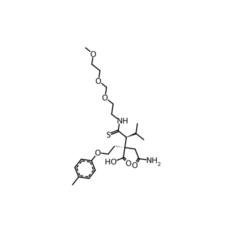 COCCOCOCCNC(=S)[C@@H](C(C)C)[C@@](CCOc1ccc(C)cc1)(CC(N)=O)C(=O)O